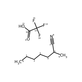 CCCCCC(C)C#N.O=C(O)C(F)(F)F